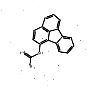 N=C(N)Nc1ccc2cccc3c2c1-c1ccccc1-3